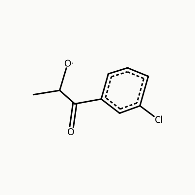 CC([O])C(=O)c1cccc(Cl)c1